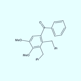 COc1cc(C(=O)c2ccccc2)c(CC(C)C)c(CC(C)C)c1OC